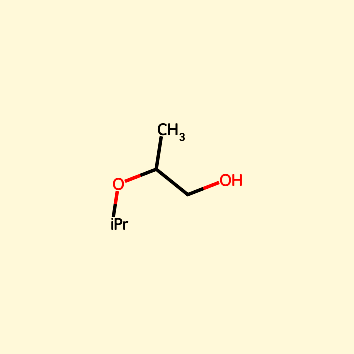 CC(C)OC(C)CO